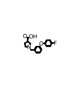 O=C(O)C1CCN(Cc2cccc(Oc3ccc(F)cc3)c2)C1